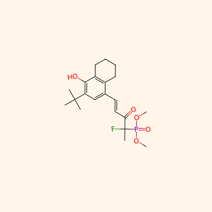 COP(=O)(OC)C(C)(F)C(=O)C=Cc1cc(C(C)(C)C)c(O)c2c1CCCC2